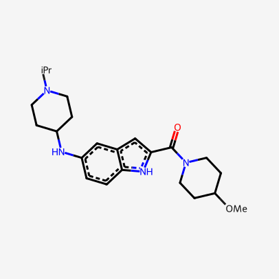 COC1CCN(C(=O)c2cc3cc(NC4CCN(C(C)C)CC4)ccc3[nH]2)CC1